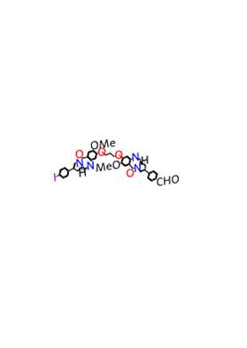 COc1cc2c(cc1OCCCOc1cc3c(cc1OC)C(=O)N1C=C(c4ccc(C=O)cc4)C[C@H]1C=N3)N=C[C@@H]1CC(c3ccc(I)cc3)=CN1C2=O